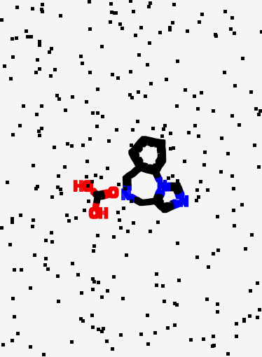 C1=NCc2cncn2-c2ccccc21.O=C(O)O